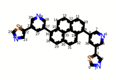 c1ncc(-c2cncc(-c3ccc4ccc5c(-c6cncc(-c7cncs7)c6)ccc6ccc3c4c65)c2)s1